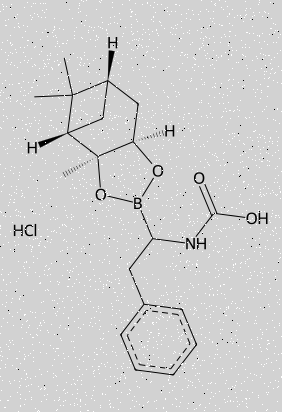 CC1(C)[C@@H]2C[C@H]3OB(C(Cc4ccccc4)NC(=O)O)O[C@@]3(C)[C@H]1C2.Cl